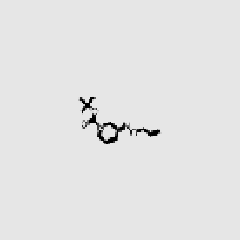 C=CCON=C1C=CCN(C(=O)OC(C)(C)C)C1